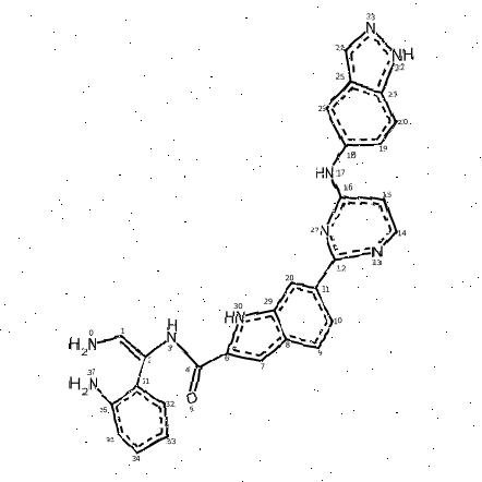 N/C=C(/NC(=O)c1cc2ccc(-c3nccc(Nc4ccc5[nH]ncc5c4)n3)cc2[nH]1)c1ccccc1N